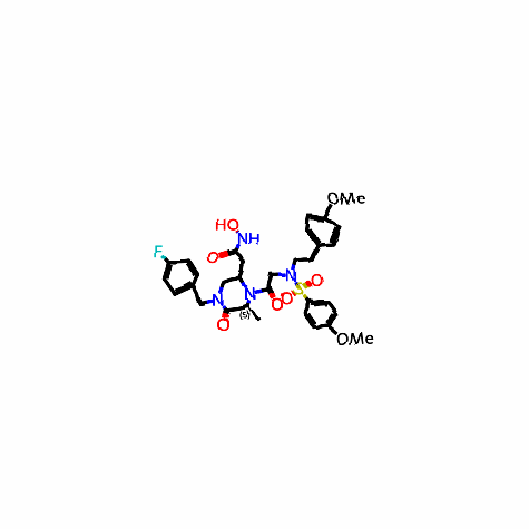 COc1ccc(CCN(CC(=O)N2C(CC(=O)NO)CN(Cc3ccc(F)cc3)C(=O)[C@@H]2C)S(=O)(=O)c2ccc(OC)cc2)cc1